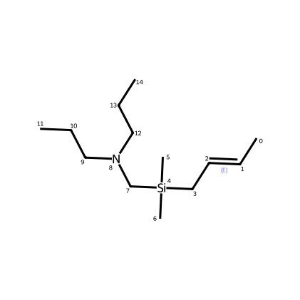 C/C=C/C[Si](C)(C)CN(CCC)CCC